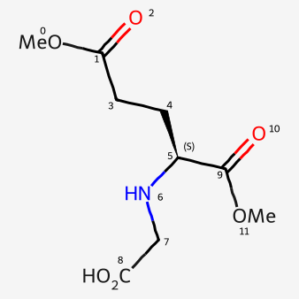 COC(=O)CC[C@H](NCC(=O)O)C(=O)OC